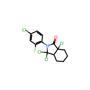 O=C1N(c2ccc(Cl)cc2F)C(Cl)(Cl)C2CCCCC12Cl